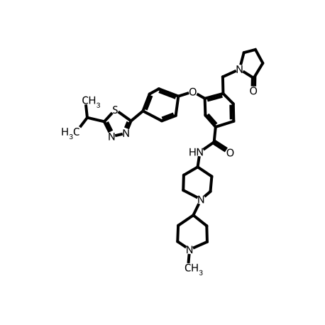 CC(C)c1nnc(-c2ccc(Oc3cc(C(=O)NC4CCN(C5CCN(C)CC5)CC4)ccc3CN3CCCC3=O)cc2)s1